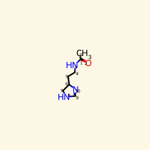 CC(=O)NCCC1CNC=N1